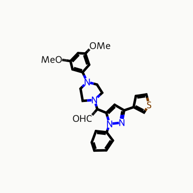 COc1cc(OC)cc(N2CCN(C(C=O)c3cc(-c4ccsc4)nn3-c3ccccc3)CC2)c1